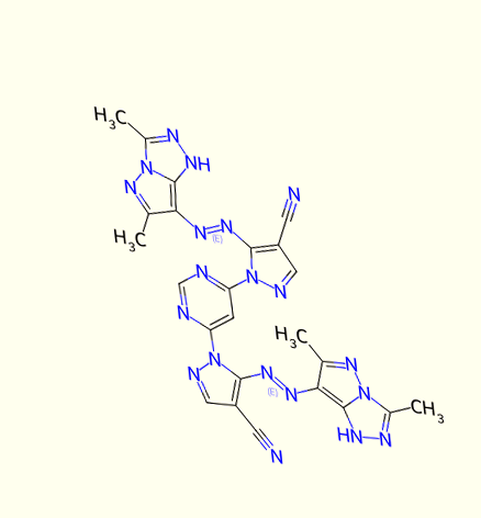 Cc1nn2c(C)n[nH]c2c1/N=N/c1c(C#N)cnn1-c1cc(-n2ncc(C#N)c2/N=N/c2c(C)nn3c(C)n[nH]c23)ncn1